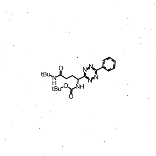 CC(C)(C)NC(=O)CCC(NC(=O)OC(C)(C)C)c1nnc(-c2ccccc2)nn1